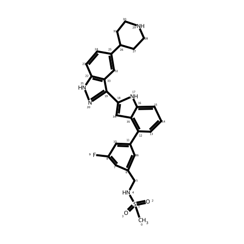 CS(=O)(=O)NCc1cc(F)cc(-c2cccc3[nH]c(-c4n[nH]c5ccc(C6CCNCC6)cc45)cc23)c1